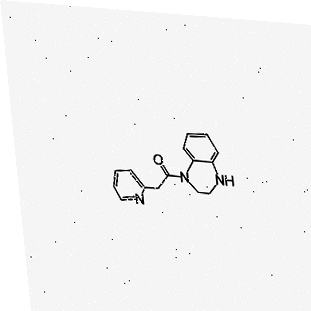 O=C(Cc1ccccn1)N1CCNc2ccccc21